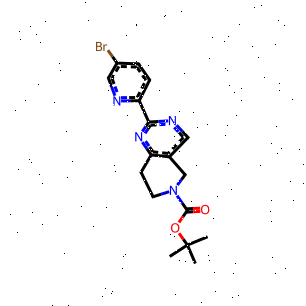 CC(C)(C)OC(=O)N1CCc2nc(-c3ccc(Br)cn3)ncc2C1